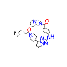 O=C(CCC(F)(F)F)N1CC=C(c2cccn3nc(Nc4ccc(C(=O)N5CCN6CCCCC6C5)cc4)nc23)CC1